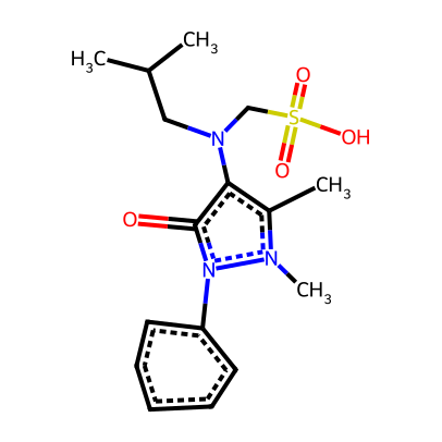 Cc1c(N(CC(C)C)CS(=O)(=O)O)c(=O)n(-c2ccccc2)n1C